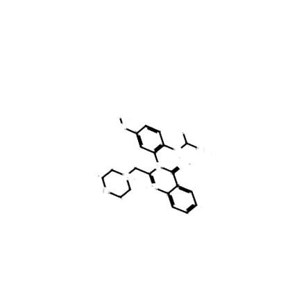 CSc1ccc(OC(C)C)c(-n2c(CN3CCNCC3)nc3ccccc3c2=O)c1